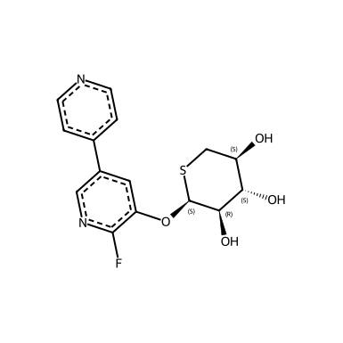 O[C@@H]1[C@@H](O)[C@@H](Oc2cc(-c3ccncc3)cnc2F)SC[C@H]1O